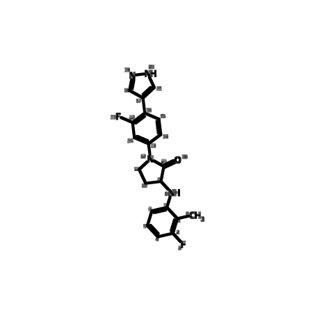 Cc1c(F)cccc1NC1CCN(c2ccc(-c3cn[nH]c3)c(F)c2)C1=O